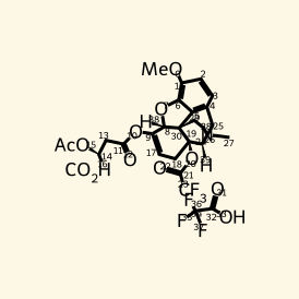 COc1ccc2c3c1O[C@H]1C(OC(=O)C[C@H](OC(C)=O)C(=O)O)=CC[C@@]4(OC(=O)C(F)(F)F)[C@@H](C2)N(C)CC[C@]314.O=C(O)C(F)(F)F